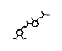 COc1ccc(/C=C/C(=O)c2cccc(OCC(=O)O)c2F)cc1OC